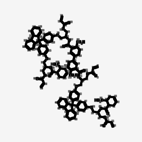 C=CC(=O)OCC(COc1ccc(C2(c3ccc(OCC(COC(=O)C=C)OC(=O)C4CC=CCC4C(=O)O)cc3)c3ccccc3-c3ccccc32)cc1)OC(=O)c1cc(-c2ccc(C(=O)O)c(C(=O)OC(COC(=O)C=C)COc3ccc(C4(c5ccc(OCC(COC(=O)C=C)OC(=O)C6CC=CCC6C(=O)O)cc5)c5ccccc5-c5ccccc54)cc3)c2)ccc1C(=O)O